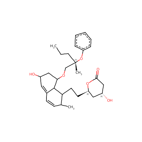 CCC[C@@](C)(COC1CC(O)C=C2C=CC(C)C(CC[C@@H]3C[C@@H](O)CC(=O)O3)C21)Oc1ccccc1